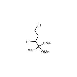 CO[Si](OC)(OC)C(S)CCS